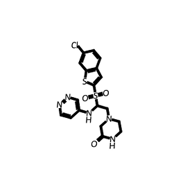 O=C1CN(CC(Nc2ccnnc2)S(=O)(=O)c2cc3ccc(Cl)cc3s2)CCN1